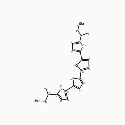 CCC(C)CC(C)c1ccc(-c2ccc(-c3ccc(-c4ccc(C(C)CC(C)CC)s4)s3)s2)s1